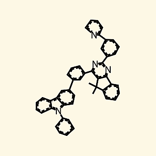 CC1(C)c2ccccc2-c2nc(-c3cccc(-c4ccccn4)c3)nc(-c3cccc(-c4ccc5c(c4)c4ccccc4n5-c4ccccc4)c3)c21